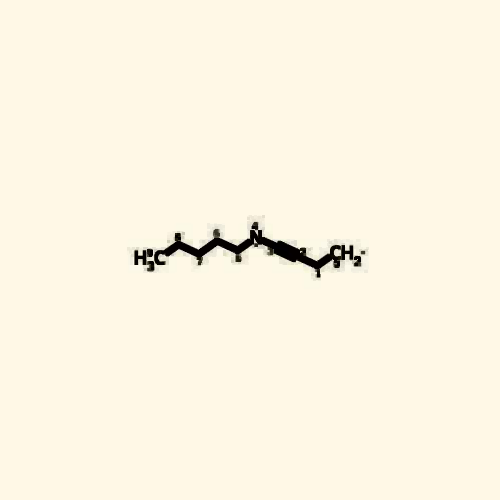 [CH2]CC#C[N]CCCCC